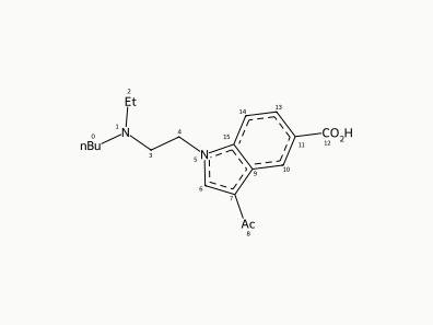 CCCCN(CC)CCn1cc(C(C)=O)c2cc(C(=O)O)ccc21